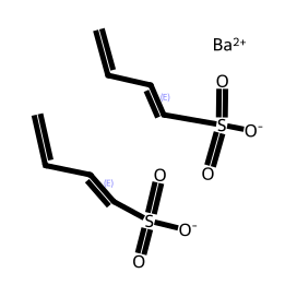 C=C/C=C/S(=O)(=O)[O-].C=C/C=C/S(=O)(=O)[O-].[Ba+2]